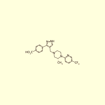 C[C@@H]1CN(Cc2c[nH]nc2-c2ccc(C(=O)O)cc2)CCN1c1ccc(C(F)(F)F)cn1